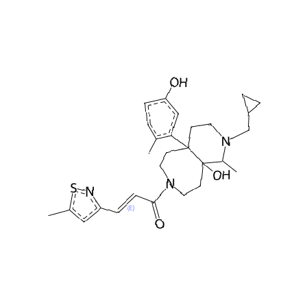 Cc1cc(/C=C/C(=O)N2CCC3(c4cc(O)ccc4C)CCN(CC4CC4)C(C)C3(O)CC2)ns1